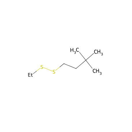 CCSSCCC(C)(C)C